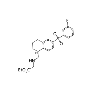 CCOC(=O)CNC[C@@H]1CCCc2cc(S(=O)(=O)c3cccc(F)c3)ccc21